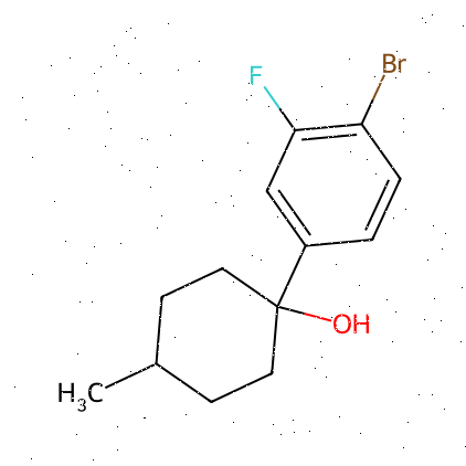 CC1CCC(O)(c2ccc(Br)c(F)c2)CC1